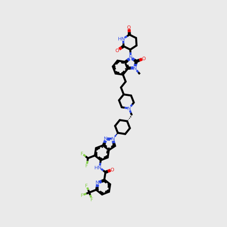 Cn1c(=O)n(C2CCC(=O)NC2=O)c2cccc(CCC3CCN(C[C@H]4CC[C@H](n5cc6cc(NC(=O)c7cccc(C(F)(F)F)n7)c(C(F)F)cc6n5)CC4)CC3)c21